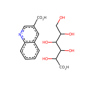 O=C(O)C(O)C(O)C(O)C(O)CO.O=C(O)c1cnc2ccccc2c1